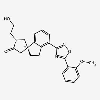 COc1ccccc1-c1nc(-c2cccc3c2CC[C@]32CC(=O)N(CCO)C2)no1